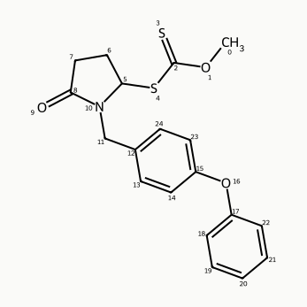 COC(=S)SC1CCC(=O)N1Cc1ccc(Oc2ccccc2)cc1